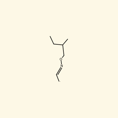 [CH2]C=NOCC(C)CC